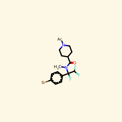 CC(=O)N1CCC(C(=O)N(C)C(F)(c2ccc(Br)cc2)C(F)F)CC1